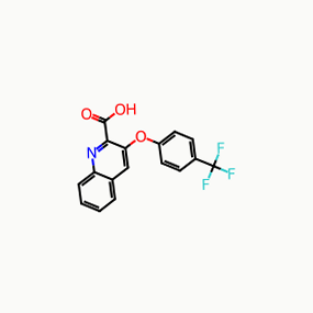 O=C(O)c1nc2ccccc2cc1Oc1ccc(C(F)(F)F)cc1